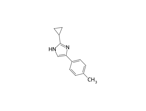 Cc1ccc(-c2c[nH]c(C3CC3)n2)cc1